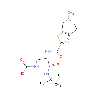 CN1CCc2nc(C(=O)NC(CNC(=O)O)C(=O)NC(C)(C)C)sc2C1